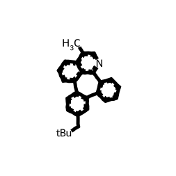 Cc1cnc2c3c(cccc13)-c1ccc(CC(C)(C)C)cc1-c1ccccc1-2